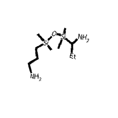 CCC(N)[Si](C)(C)O[Si](C)(C)CCCN